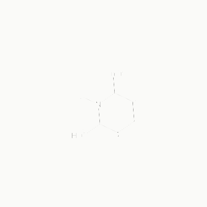 CCCC1CCCC(C)N1C